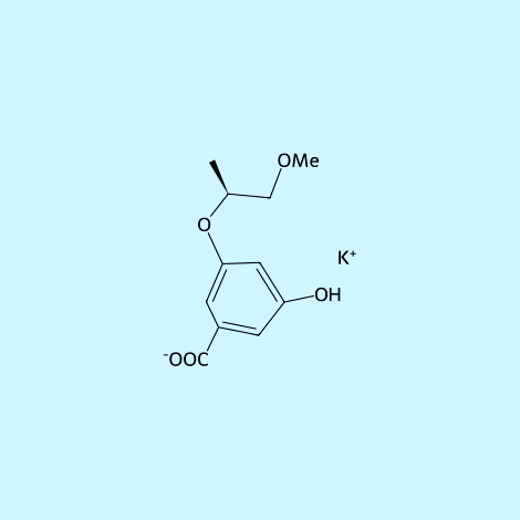 COC[C@H](C)Oc1cc(O)cc(C(=O)[O-])c1.[K+]